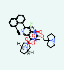 C#Cc1cccc2cccc(-c3ncc4c(N5C[C@H]6CC[C@@H](C5)N6C(=O)OC(C)OC(=O)C(C)C)nc(OCC56CCCN5CCC6)nc4c3F)c12